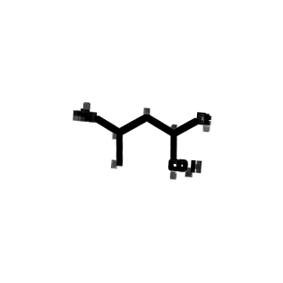 CCCCC(C)CC(CC)C(=O)O